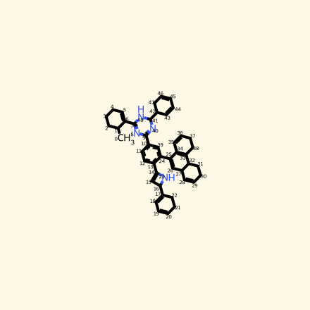 CC1CCCC=C1C1=NC(c2ccc(C3=CC(C4=CC=CCC4)N3)c(C3=CC4C=CCCC4C4=C3C=CCC4)c2)=NC(C2C=CC=CC2)N1